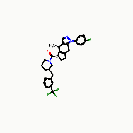 C[C@@H]1C2=C(CC[C@H]2C(=O)N2CCCC(Cc3cccc(C(F)(F)F)c3)C2)Cc2c1cnn2-c1ccc(F)cc1